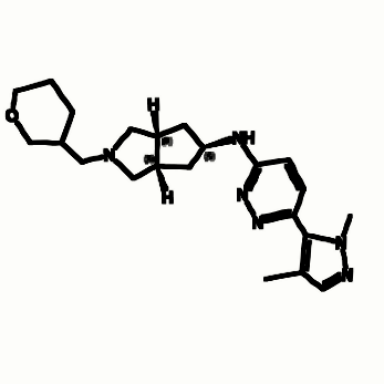 Cc1cnn(C)c1-c1ccc(N[C@H]2C[C@@H]3CN(CC4CCCOC4)C[C@@H]3C2)nn1